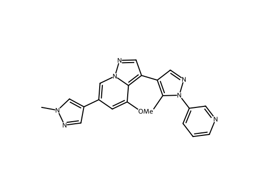 COc1cc(-c2cnn(C)c2)cn2ncc(-c3cnn(-c4cccnc4)c3C)c12